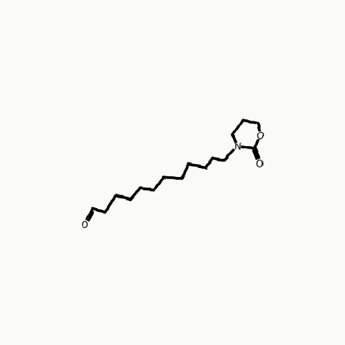 O=CCCCCCCCCCCCN1CCCOC1=O